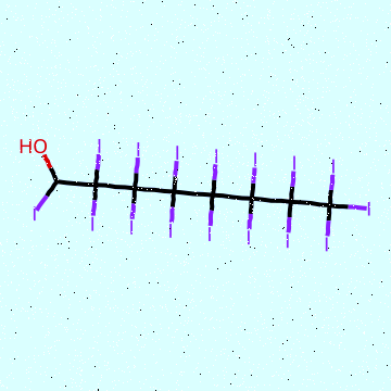 OC(I)C(I)(I)C(I)(I)C(I)(I)C(I)(I)C(I)(I)C(I)(I)C(I)(I)I